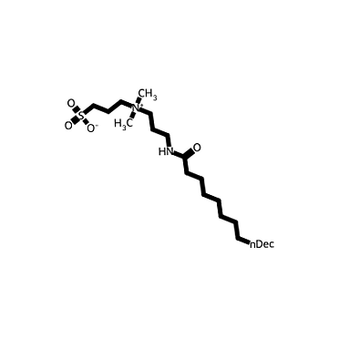 CCCCCCCCCCCCCCCCCC(=O)NCCC[N+](C)(C)CCCS(=O)(=O)[O-]